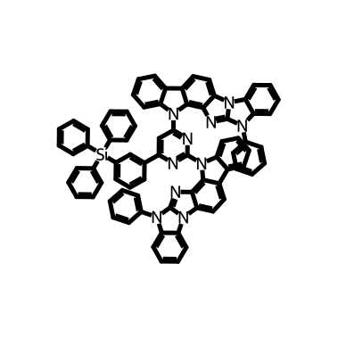 c1ccc(-n2c3ccccc3n3c4ccc5c6ccccc6n(-c6cc(-c7cccc([Si](c8ccccc8)(c8ccccc8)c8ccccc8)c7)nc(-n7c8ccccc8c8ccc9c(nc%10n(-c%11ccccc%11)c%11ccccc%11n9%10)c87)n6)c5c4nc23)cc1